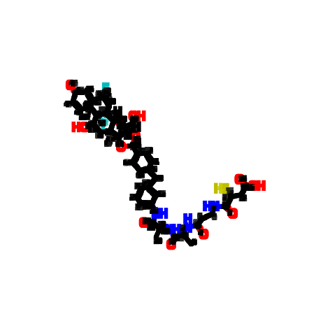 C[C@H](NC(=O)CCNC(=O)C(S)CC(=O)O)C(=O)N[C@@H](C)C(=O)Nc1cccc(Cc2ccc([C@@H]3O[C@@H]4CC5[C@@H]6C[C@H](F)C7=CC(=O)C=C[C@]7(C)[C@@]6(F)[C@@H](O)C[C@]5(C)[C@]4(C(=O)CO)O3)cc2)c1